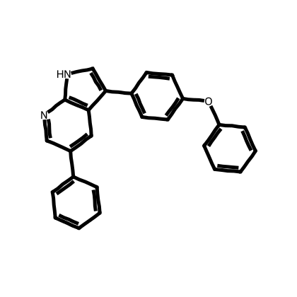 c1ccc(Oc2ccc(-c3c[nH]c4ncc(-c5ccccc5)cc34)cc2)cc1